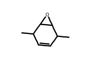 CC1C=CC(C)C2OC12